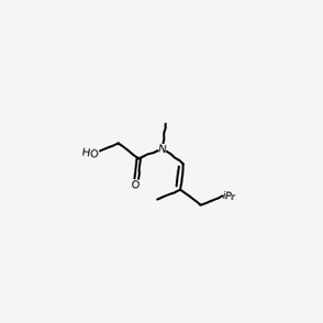 CC(=CN(C)C(=O)CO)CC(C)C